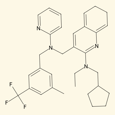 CCN(CC1CCCC1)c1nc2c(cc1CN(Cc1cc(C)cc(C(F)(F)F)c1)c1ccccn1)=CCCC=2